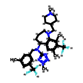 Cc1cc(CN(c2nnn(C)n2)[C@H]2CCCN(CC3CCN(C)CC3)c3c2cc(C)c(C(F)(F)F)c3C)cc(C(F)(F)F)c1